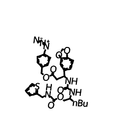 CCCCC(COC(=O)NCc1cccs1)NC(=O)NC(CC(=O)OCc1ccc(N=[N+]=[N-])cc1)c1ccc2c(c1)OCO2